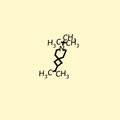 CC(C)C1CC2(CCN(C(C)(C)C)CC2)C1